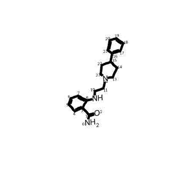 NC(=O)c1ccccc1NCCN1CCC(c2ccccc2)CC1